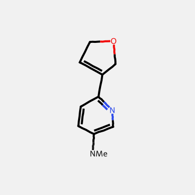 CNc1ccc(C2=CCOC2)nc1